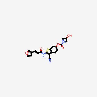 N#Cc1c(NC(=O)C=Cc2ccoc2)sc2c1CCC(OC(=O)N1CC(O)C1)C2